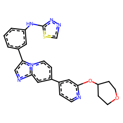 c1cc(Nc2nncs2)cc(-c2cnc3cc(-c4ccnc(OC5CCOCC5)c4)ccn23)c1